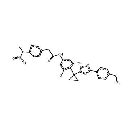 CC(c1ccc(CC(=O)Nc2cc(Cl)c(C3(c4noc(-c5ccc(OC(F)(F)F)cc5)n4)CC3)c(Cl)c2)cc1)[SH](=O)=O